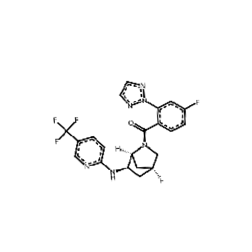 O=C(c1ccc(F)cc1-n1nccn1)N1C[C@H]2C[C@@H](Nc3ccc(C(F)(F)F)cn3)[C@@H]1C2